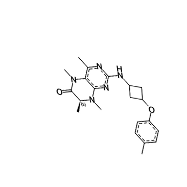 Cc1ccc(OC2CC(Nc3nc(C)c4c(n3)N(C)[C@@H](C)C(=O)N4C)C2)cc1